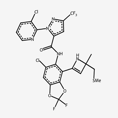 CSCC1(C)C=C(c2c(NC(=O)c3cc(C(F)(F)F)nn3-c3ncccc3Cl)c(Cl)cc3c2OC(F)(F)O3)N1